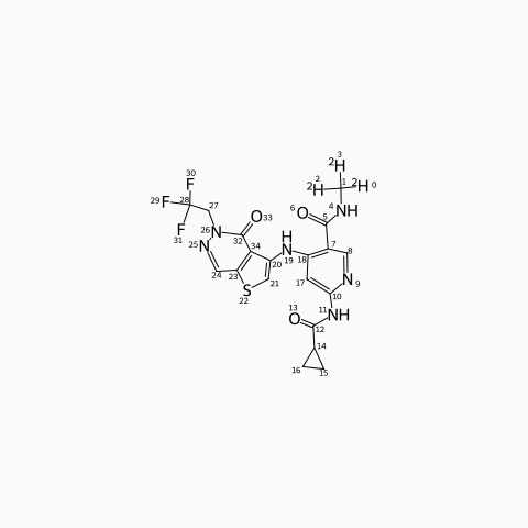 [2H]C([2H])([2H])NC(=O)c1cnc(NC(=O)C2CC2)cc1Nc1csc2cnn(CC(F)(F)F)c(=O)c12